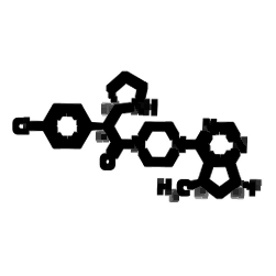 C[C@@H]1C[C@@H](F)c2ncnc(N3CCN(C(=O)[C@@H](c4ccc(Cl)cc4)[C@@H]4CCCN4)CC3)c21